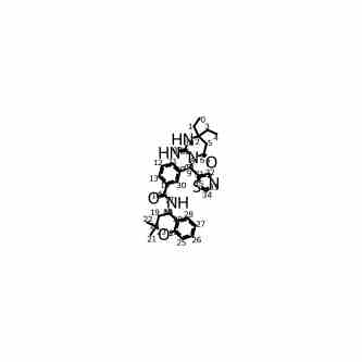 CCC1(CC)CC(=O)N([C@H](c2cccc(C(=O)N[C@H]3CC(C)(C)Oc4ccccc43)c2)c2cncs2)C(=N)N1